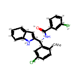 COc1ccc(Cl)cc1[C@@H](NC(=O)c1cccc(Br)c1)c1cc2ccccc2[nH]1